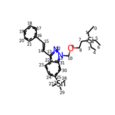 CC[Si](CC)(CC)CCOCn1nc(C=Cc2ccccc2)c2cc[c]([Sn]([CH3])([CH3])[CH3])cc21